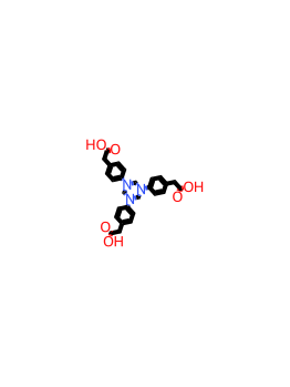 O=C(O)Cc1ccc(N2CN(c3ccc(CC(=O)O)cc3)CN(c3ccc(CC(=O)O)cc3)C2)cc1